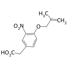 C=C(C)COc1ccc(CC(=O)O)cc1[N+](=O)[O-]